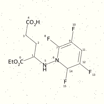 CCOC(=O)C(CCC(=O)O)NN1C(F)=C(F)C=C(F)C1F